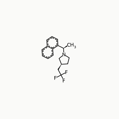 C[C@H](c1cccc2ccccc12)N1CC[C@@H](CC(F)(F)F)C1